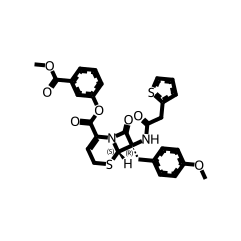 COC(=O)c1cccc(OC(=O)C2=CCS[C@@H]3N2C(=O)[C@@]3(Cc2ccc(OC)cc2)NC(=O)Cc2cccs2)c1